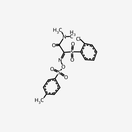 Cc1ccc(S(=O)(=O)ON=C(C(=O)N(C)C)S(=O)(=O)c2ccccc2Cl)cc1